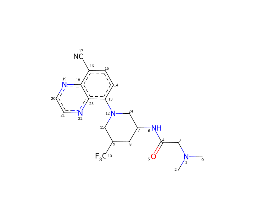 CN(C)CC(=O)NC1CC(C(F)(F)F)CN(c2ccc(C#N)c3nccnc23)C1